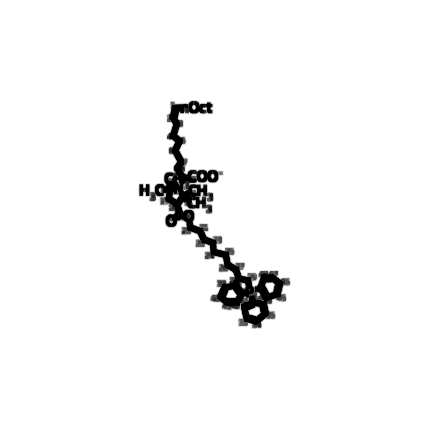 CCCCCCCC/C=C\CCCCCCC(C(=O)[O-])N1C(C)(C)CC(C(=O)OCCCCCCCCCC[P+](c2ccccc2)(c2ccccc2)c2ccccc2)C1(C)C